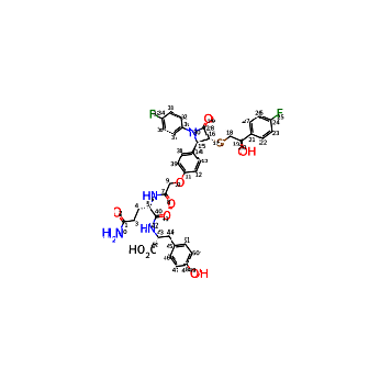 NC(=O)CC[C@H](NC(=O)COc1ccc([C@@H]2[C@@H](SCC(O)c3ccc(F)cc3)C(=O)N2c2ccc(F)cc2)cc1)C(=O)N[C@H](Cc1ccc(O)cc1)C(=O)O